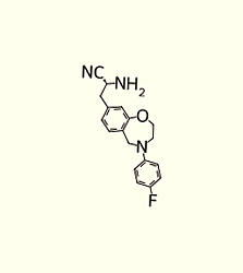 N#C[C@@H](N)Cc1ccc2c(c1)OCCN(c1ccc(F)cc1)C2